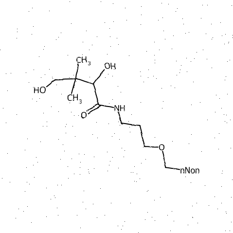 CCCCCCCCCCOCCCNC(=O)C(O)C(C)(C)CO